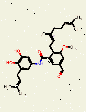 COc1cc(C=O)cc(C(=O)Nc2cc(O)c(O)c(CC=C(C)C)c2)c1C/C=C(\C)CCC=C(C)C